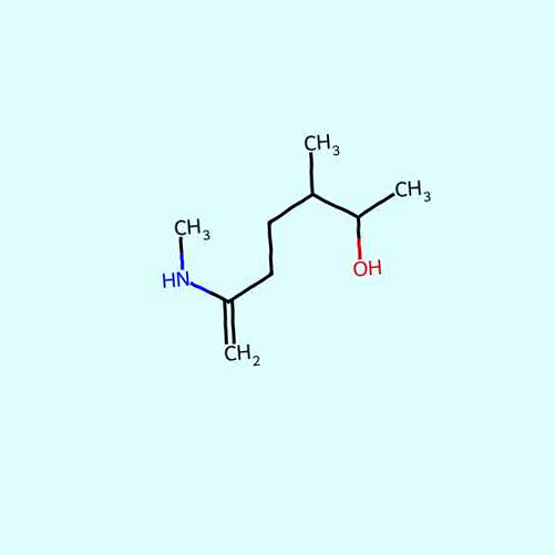 C=C(CCC(C)C(C)O)NC